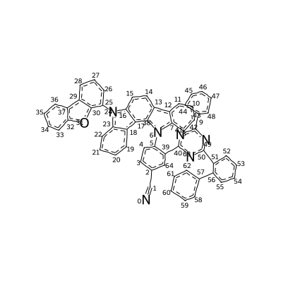 N#Cc1ccc(-n2c3ccccc3c3ccc4c(c5ccccc5n4-c4cccc5c4oc4ccccc45)c32)c(-c2nc(-c3ccccc3)nc(-c3ccccc3-c3ccccc3)n2)c1